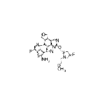 COCCN1C[C@@H](F)C[C@H]1COc1ncc2c3c(c(-c4ncc(F)c5sc(N)c(C#N)c45)c(F)c2n1)COC3